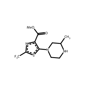 COC(=O)c1nc(C(F)(F)F)sc1N1CCNC(C)C1